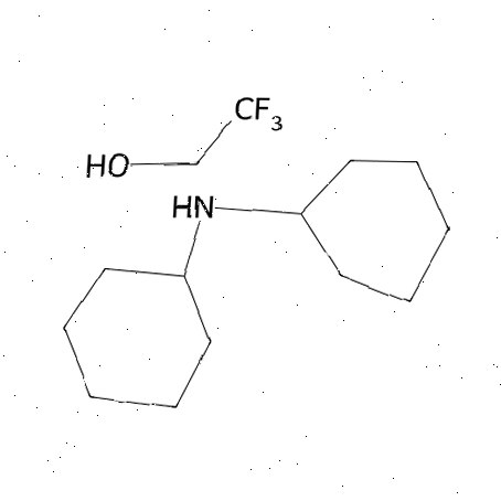 C1CCC(NC2CCCCC2)CC1.OCC(F)(F)F